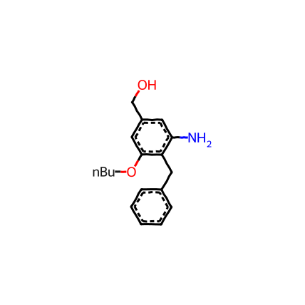 CCCCOc1cc(CO)cc(N)c1Cc1ccccc1